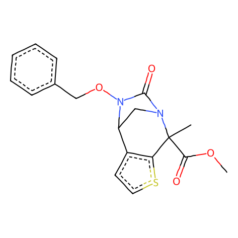 COC(=O)C1(C)c2sccc2C2CN1C(=O)N2OCc1ccccc1